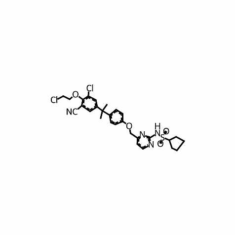 CC(C)(c1ccc(OCc2ccnc(NS(=O)(=O)C3CCCC3)n2)cc1)c1cc(Cl)c(OCCCl)c(C#N)c1